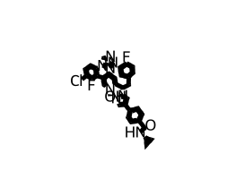 O=C(NC1CC1)c1ccc(-c2cnn(C(Cc3ccc(F)cc3)c3ccc(-c4c(-n5cnnn5)ccc(Cl)c4F)c[n+]3O)c2)cc1